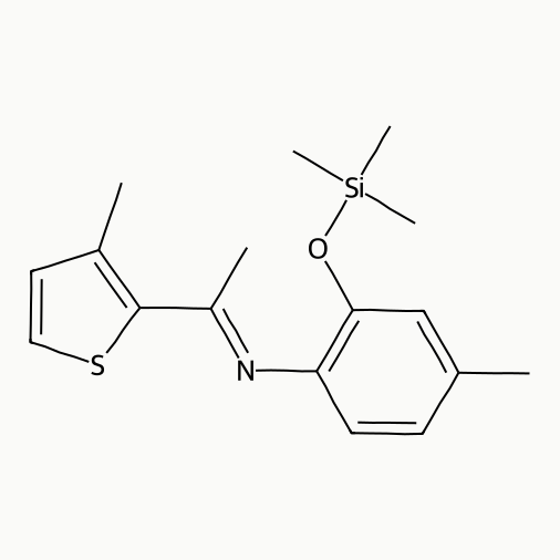 CC(=Nc1ccc(C)cc1O[Si](C)(C)C)c1sccc1C